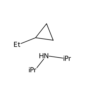 CC(C)NC(C)C.CCC1CC1